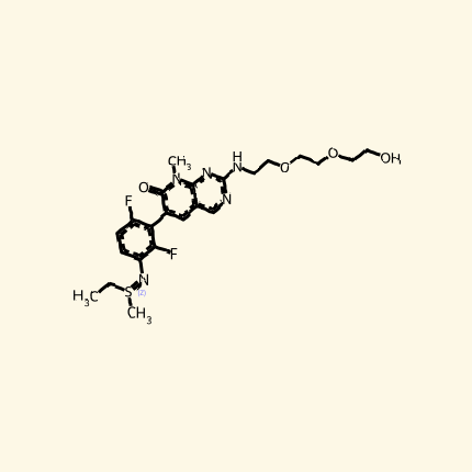 CC/S(C)=N\c1ccc(F)c(-c2cc3cnc(NCCOCCOCCO)nc3n(C)c2=O)c1F